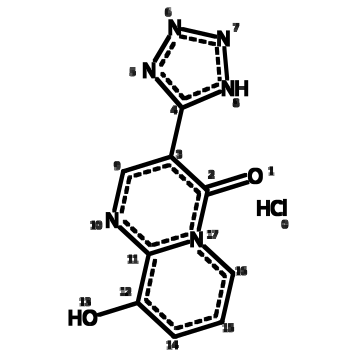 Cl.O=c1c(-c2nnn[nH]2)cnc2c(O)cccn12